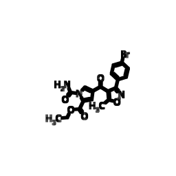 CCOC(=O)c1cc(C(=O)c2c(-c3ccc(Br)cc3)noc2C)cn1C(N)=O